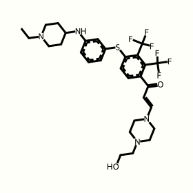 CCN1CCC(Nc2cccc(Sc3ccc(C(=O)C=CN4CCN(CCO)CC4)c(C(F)(F)F)c3C(F)(F)F)c2)CC1